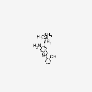 C[Si](C)(C)C#Cc1cn2cc(-c3ccccc3O)nc2nc1N